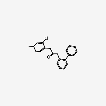 CC1C=C(Cl)C(CC(=O)Cc2ccccc2-c2ccccc2)=CC1